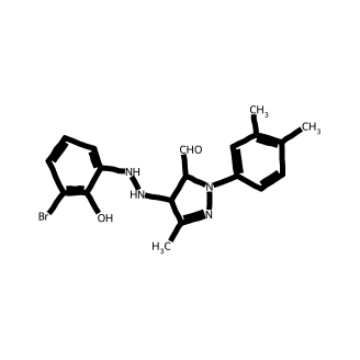 CC1=NN(c2ccc(C)c(C)c2)C(C=O)C1NNc1cccc(Br)c1O